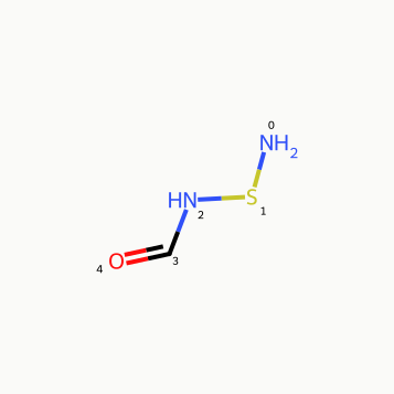 NSNC=O